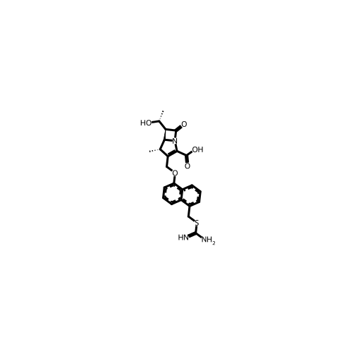 C[C@H]1C(COc2cccc3c(CSC(=N)N)cccc23)=C(C(=O)O)N2C(=O)[C@H]([C@@H](C)O)C12